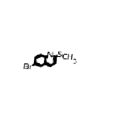 CSc1ccc2cc(Br)ccc2n1